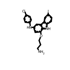 NCCCOc1cc(Nc2ccc(Cl)cc2)cc2c1[nH]c1ccc(I)cc12